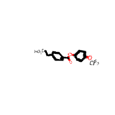 O=C(O)C=Cc1ccc(C(=O)Oc2ccc(OC(F)(F)F)cc2)cc1